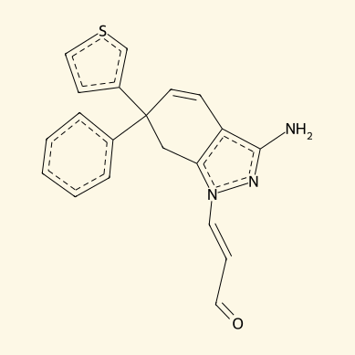 Nc1nn(C=CC=O)c2c1C=CC(c1ccccc1)(c1ccsc1)C2